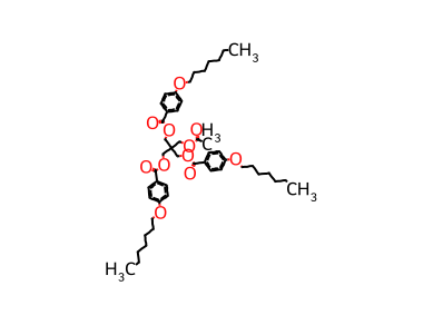 CCCCCCCOc1ccc(C(=O)OCC(COC(C)=O)(COC(=O)c2ccc(OCCCCCCC)cc2)COC(=O)c2ccc(OCCCCCCC)cc2)cc1